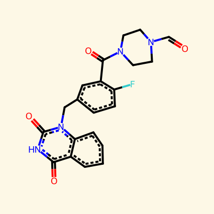 O=CN1CCN(C(=O)c2cc(Cn3c(=O)[nH]c(=O)c4ccccc43)ccc2F)CC1